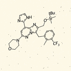 Cc1c(Cc2c(CO[Si](C)(C)C(C)(C)C)nc3c(-c4ncc[nH]4)cc(N4CCOCC4)nn23)cccc1C(F)(F)F